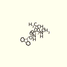 CNC(=O)C[C@H](NC(=O)OCC1c2ccccc2-c2ccccc21)C(=O)OCC(C)C